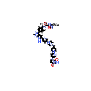 Cc1cc(-c2ncnc3[nH]c(-c4ccc(N5CCN(CC6CCN(c7ccc(N8CCC(=O)NC8=O)cn7)CC6)CC5)cn4)cc23)ccc1[C@@H](C)NC(=O)c1nc(C(C)(C)C)no1